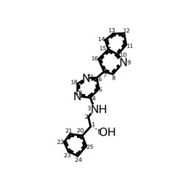 O[C@@H](CNc1cc(-c2cnc3ccccc3c2)ncn1)c1ccccc1